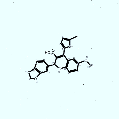 Cc1ccc(C2=C(C(=O)O)C(c3ccc4c(c3)OCO4)Oc3ccc(OC(C)C)cc32)s1